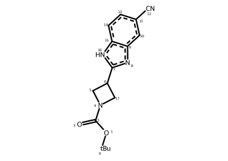 CC(C)(C)OC(=O)N1CC(c2nc3cc(C#N)ccc3[nH]2)C1